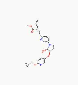 C=CCC(CCc1ccc(N2CC[C@@H](Oc3ccc(OCC4CC4)nc3)C2=O)cn1)C(=O)OC